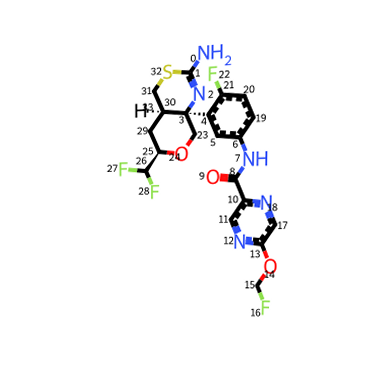 NC1=N[C@@]2(c3cc(NC(=O)c4cnc(OCF)cn4)ccc3F)CO[C@@H](C(F)F)C[C@H]2CS1